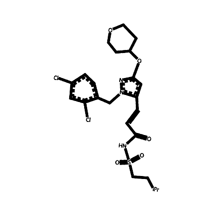 CC(C)CCS(=O)(=O)NC(=O)/C=C/c1cc(OC2CCOCC2)nn1Cc1ccc(Cl)cc1Cl